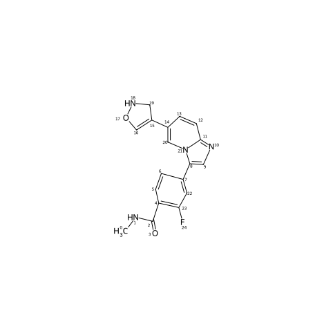 CNC(=O)c1ccc(-c2cnc3ccc(C4=CONC4)cn23)cc1F